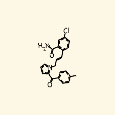 Cc1ccc(C(=O)c2cccn2CC=Cc2ccc(Cl)cc2C(N)=O)cc1